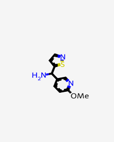 COc1ccc(C(N)c2ccns2)cn1